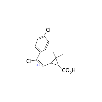 CC1(C)C(/C=C(/Cl)c2ccc(Cl)cc2)C1C(=O)O